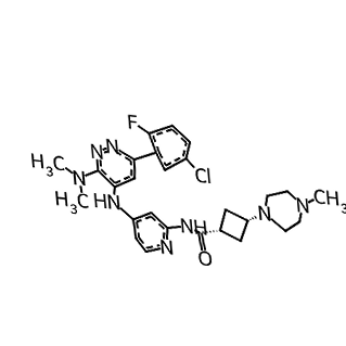 CN1CCN([C@H]2C[C@@H](C(=O)Nc3cc(Nc4cc(-c5cc(Cl)ccc5F)nnc4N(C)C)ccn3)C2)CC1